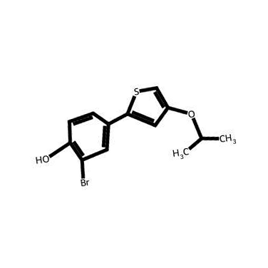 CC(C)Oc1csc(-c2ccc(O)c(Br)c2)c1